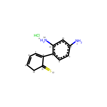 Cl.Nc1ccc(C2=CC=CCC2=S)c(N)c1